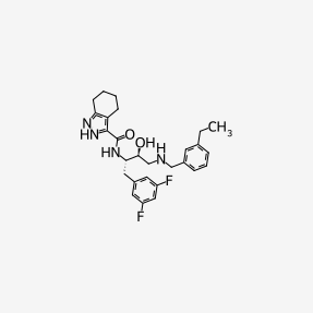 CCc1cccc(CNC[C@H](O)[C@H](Cc2cc(F)cc(F)c2)NC(=O)c2[nH]nc3c2CCCC3)c1